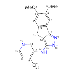 COc1cc2c(cc1OC)-c1n[nH]c(Nc3cnccc3C(F)(F)F)c1C2